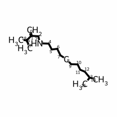 C=C(CNCCCCCCCCCC(C)C)C(C)C